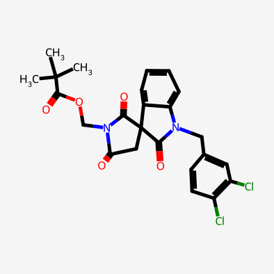 CC(C)(C)C(=O)OCN1C(=O)CC2(C1=O)C(=O)N(Cc1ccc(Cl)c(Cl)c1)c1ccccc12